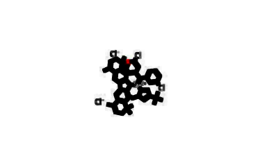 CCC1C=C(C(C)(C)C)C=[C]1[Zr+2](=[C](c1cccc(Cl)c1)c1cccc(Cl)c1)[CH]1c2cc3c(cc2-c2cc4c(cc21)C(C)(C)CC=C4C)C(C)=CCC3(C)C.[Cl-].[Cl-]